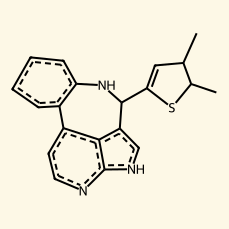 CC1C=C(C2Nc3ccccc3-c3ccnc4[nH]cc2c34)SC1C